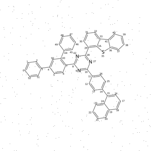 c1ccc(-c2ccc(-c3nc(-c4ccc(-c5cccc6ccccc56)cc4)nc(-c4cccc5c4sc4ccccc45)n3)c(-c3ccccc3)c2)cc1